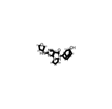 O=C(NC1C2CC3CC1CC(O)(C3)C2)c1cnc(N[C@@H]2CCOC2)nc1N1CCCC1